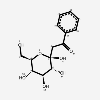 O=C(C[C@@]1(O)O[C@H](CO)[C@@H](O)[C@H](O)[C@H]1O)c1ccccc1